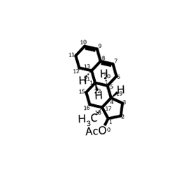 CC(=O)OC1CC[C@H]2[C@@H]3CC=C4C=CCC[C@@H]4[C@H]3CC[C@]12C